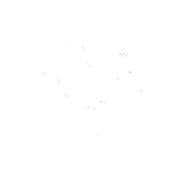 O=C(O)c1c(OC2CN(C(=O)[C@@H]3C[C@@H](O)CN3)C2)ccc2c1O[B-](O)(O)C1CC21.O=C(O)c1c(OC2CN(C(=O)[C@@H]3C[C@@H](O)CN3)C2)ccc2c1O[B-](O)(O)C1CC21.[Na+].[Na+]